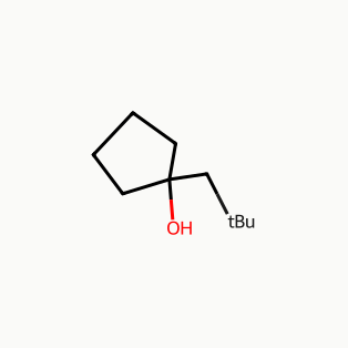 CC(C)(C)CC1(O)CCCC1